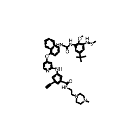 C#Cc1cc(Nc2cc(Oc3ccc(NC(=O)Nc4cc(C(C)(C)C)cc(NSC)c4OC)c4ccccc34)ccn2)cc(C(=O)NCCN2CCN(C)CC2)c1